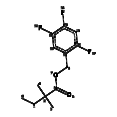 CCC(C)(C)C(=O)OCc1cc(F)c(F)cc1F